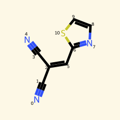 N#CC(C#N)=Cc1nccs1